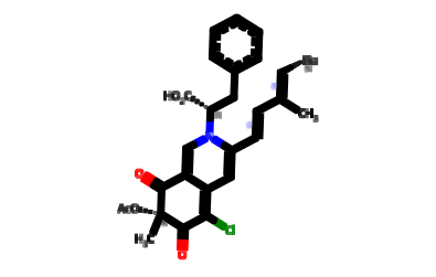 CC[C@H](C)/C=C(C)/C=C/C1=CC2=C(Cl)C(=O)[C@](C)(OC(C)=O)C(=O)C2=CN1[C@@H](Cc1ccccc1)C(=O)O